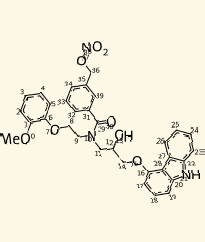 COc1ccccc1OCCN(CC(O)COc1cccc2[nH]c3ccccc3c12)C(=O)c1cccc(CO[N+](=O)[O-])c1